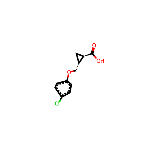 O=C(O)[C@@H]1C[C@H]1COc1ccc(Cl)cc1